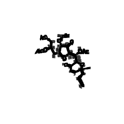 C=CC[C@]1(C)C=CC(=O)[C@@H]([C@@H](OC(C)=O)[C@@H]2O[C@H](C[C@H](COC(C)=O)OC(C)=O)[C@H](OCCCC)C2=O)O1